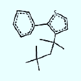 CC(C)(C)CC(C)(C)c1ccsc1-c1ccccc1